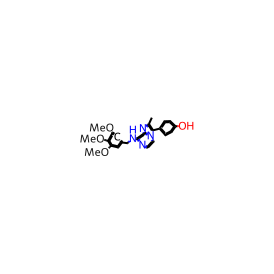 COc1cc(CNc2nccn3c(-c4ccc(O)cc4)c(C)nc23)cc(OC)c1OC